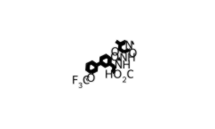 CC1=CN(C)C(=O)C(NC(=O)NC(CC(=O)O)c2cccc(-c3cccc(OC(F)(F)F)c3)c2)C1=O